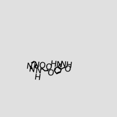 O=C(CC(=O)Oc1ccc2c(=O)[nH][nH]c2c1)Nc1nccnn1